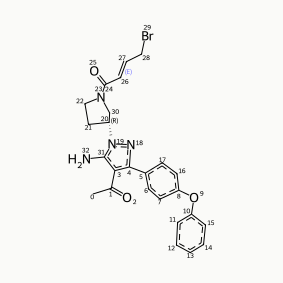 CC(=O)c1c(-c2ccc(Oc3ccccc3)cc2)nn([C@@H]2CCN(C(=O)/C=C/CBr)C2)c1N